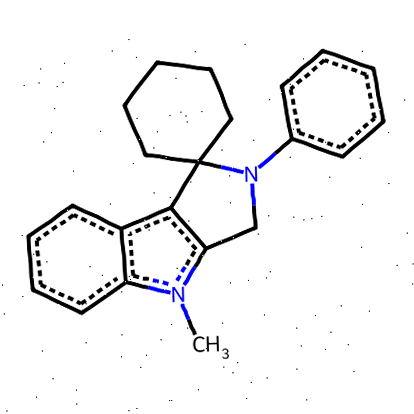 Cn1c2c(c3ccccc31)C1(CCCCC1)N(c1ccccc1)C2